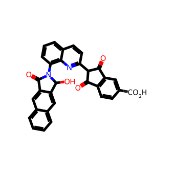 O=C(O)c1ccc2c(c1)C(=O)C(c1ccc3cccc(N4C(=O)c5cc6ccccc6cc5C4O)c3n1)C2=O